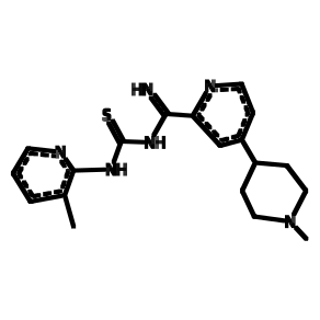 Cc1cccnc1NC(=S)NC(=N)c1cc(C2CCN(C)CC2)ccn1